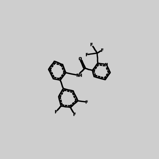 O=C(Nc1ccccc1-c1cc(F)c(F)c(F)c1)c1cccnc1C(F)(F)F